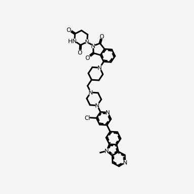 Cn1c2ccncc2c2ccc(-c3cnc(N4CCN(CC5CCN(c6cccc7c6C(=O)N(N6CCC(=O)NC6=O)C7=O)CC5)CC4)c(Cl)c3)cc21